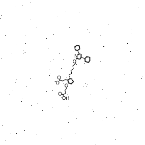 COC(=O)CCc1c(CCCCCCOc2cc(-c3ccccc3)cc(-c3ccccc3)n2)cccc1OCCCC(=O)O